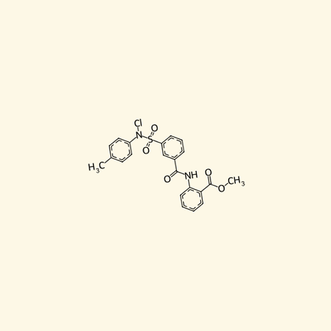 COC(=O)c1ccccc1NC(=O)c1cccc(S(=O)(=O)N(Cl)c2ccc(C)cc2)c1